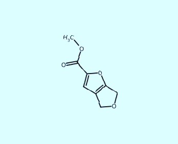 COC(=O)c1cc2c(o1)COC2